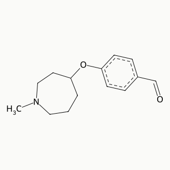 CN1CCCC(Oc2ccc(C=O)cc2)CC1